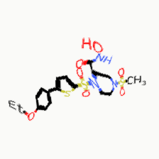 CCOc1ccc(-c2ccc(S(=O)(=O)N3CCN(S(C)(=O)=O)C[C@@H]3C(=O)NO)s2)cc1